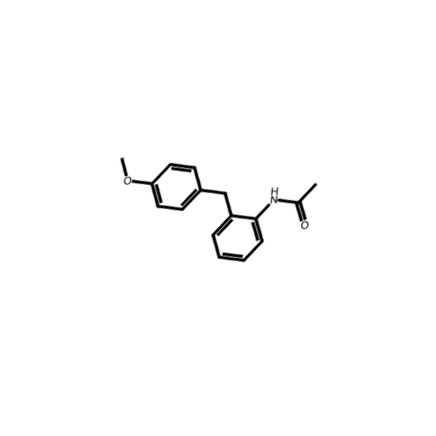 COc1ccc(Cc2ccccc2NC(C)=O)cc1